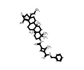 CC(C)C1=C2C3CCC4C(C)(CCC5C(C)(C)C(OC(=O)C6CC(C(=O)OCc7ccccc7)C6C)CCC54C)C3CCC2(CCN)CC1=O